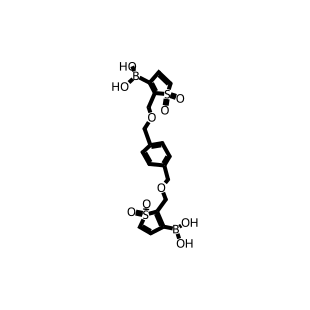 O=S1(=O)C=CC(B(O)O)=C1COCc1ccc(COCC2=C(B(O)O)C=CS2(=O)=O)cc1